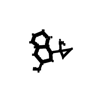 COc1cc(C2(N)CC2)c2ncccc2c1